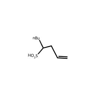 C=CCC(CCCC)S(=O)(=O)O